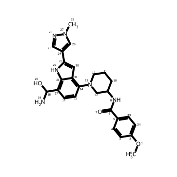 COc1ccc(C(=O)NC2CCCN(c3ccc(C(N)O)c4[nH]c(-c5cnn(C)c5)cc34)C2)cc1